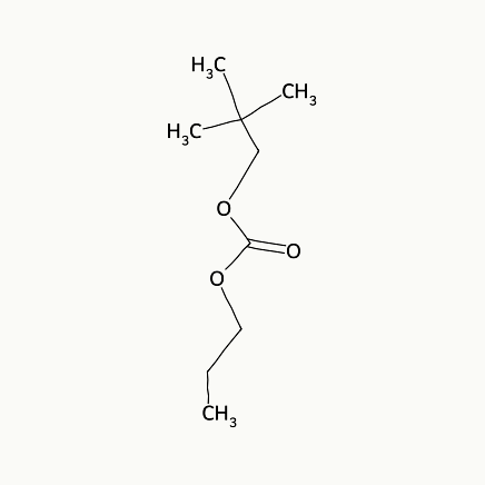 CCCOC(=O)OCC(C)(C)C